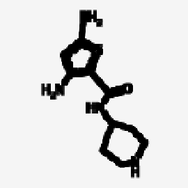 Bc1cc(N)c(C(=O)NC2CCNCC2)s1